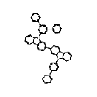 C1=CCCC(c2ccc(N3C4CCC=CC4C4C=CC(c5ccc6c(c5)N(c5cc(-c7ccccc7)cc(-c7ccccc7)c5)C5C=CC=CC65)CC43)cc2)=C1